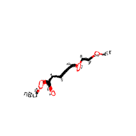 CCCCOC(=O)CCCOCCOCC